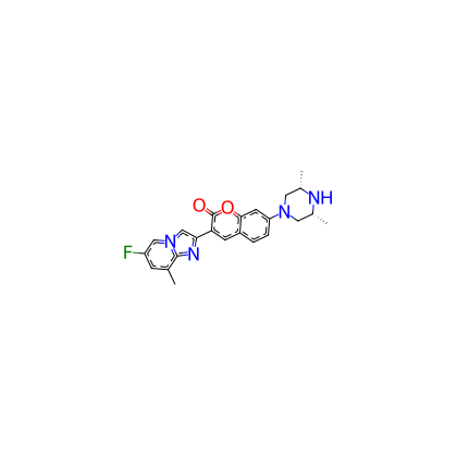 Cc1cc(F)cn2cc(-c3cc4ccc(N5C[C@@H](C)N[C@@H](C)C5)cc4oc3=O)nc12